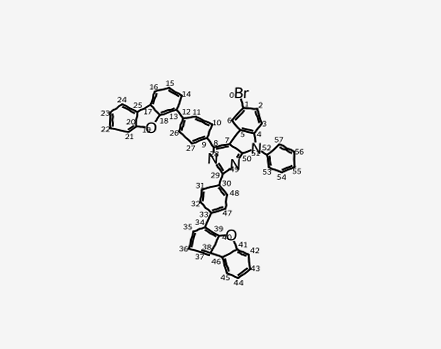 Brc1ccc2c(c1)c1c(-c3ccc(-c4cccc5c4oc4ccccc45)cc3)nc(-c3ccc(-c4cccc5c4oc4ccccc45)cc3)nc1n2-c1ccccc1